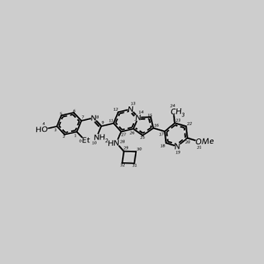 CCc1cc(O)ccc1/N=C(\N)c1cnn2cc(-c3cnc(OC)cc3C)cc2c1NC1CCC1